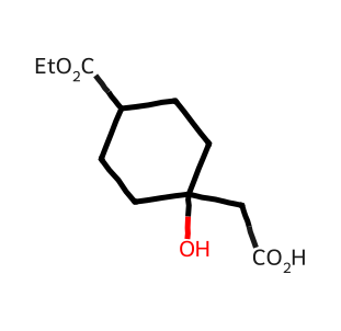 CCOC(=O)C1CCC(O)(CC(=O)O)CC1